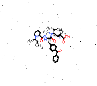 CCC(C)N1CCCCC1C(=O)N[C@@H](Cc1ccc(C(=O)c2ccccc2)cc1)C(=O)N(C)[C@H](/C=C(\C)C(=O)O)C(C)C